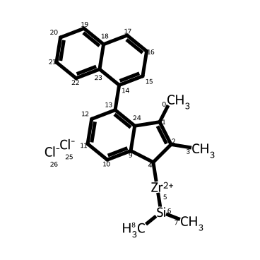 CC1=C(C)[CH]([Zr+2][Si](C)C)c2cccc(-c3cccc4ccccc34)c21.[Cl-].[Cl-]